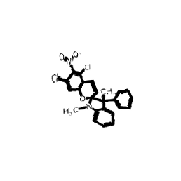 CN1c2ccccc2C(C)(c2ccccc2)C12C=Cc1c(cc(Cl)c([N+](=O)[O-])c1Cl)O2